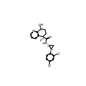 O=C(N[C@@H]1C[C@H]1c1ccc(Cl)cc1Cl)[C@]1(F)CC[C@H](O)c2ncccc21